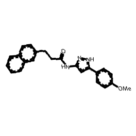 COc1ccc(-c2cc(NC(=O)CCc3ccc4ccccc4c3)n[nH]2)cc1